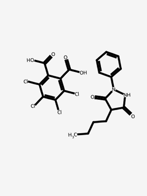 CCCCC1C(=O)NN(c2ccccc2)C1=O.O=C(O)c1c(Cl)c(Cl)c(Cl)c(Cl)c1C(=O)O